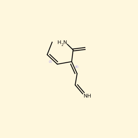 C=C(N)C(/C=C\C)=C/C=N